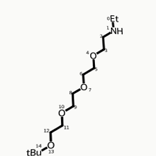 CCNCCOCCOCCOCCOC(C)(C)C